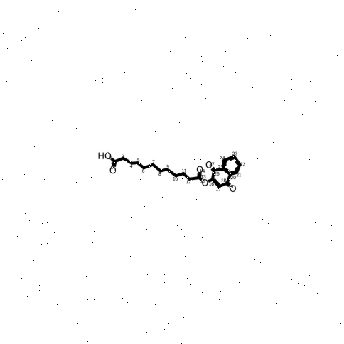 O=C(O)CCCCCCCCCCC(=O)OC1=CC(=O)c2ccccc2C1=O